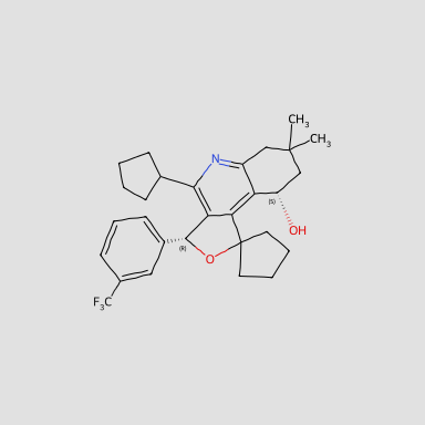 CC1(C)Cc2nc(C3CCCC3)c3c(c2[C@@H](O)C1)C1(CCCC1)O[C@@H]3c1cccc(C(F)(F)F)c1